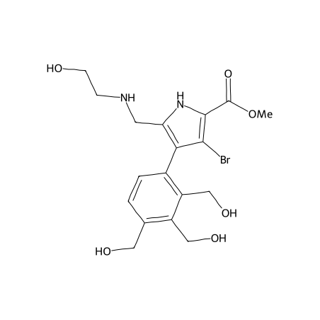 COC(=O)c1[nH]c(CNCCO)c(-c2ccc(CO)c(CO)c2CO)c1Br